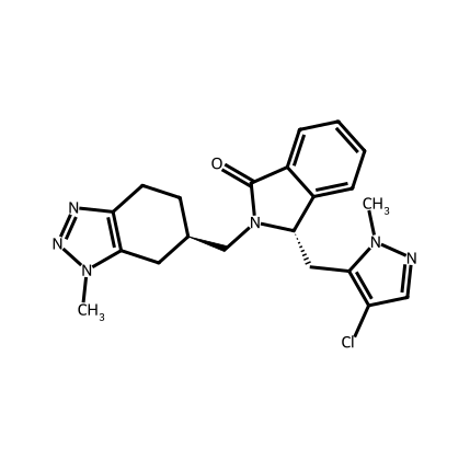 Cn1ncc(Cl)c1C[C@H]1c2ccccc2C(=O)N1C[C@@H]1CCc2nnn(C)c2C1